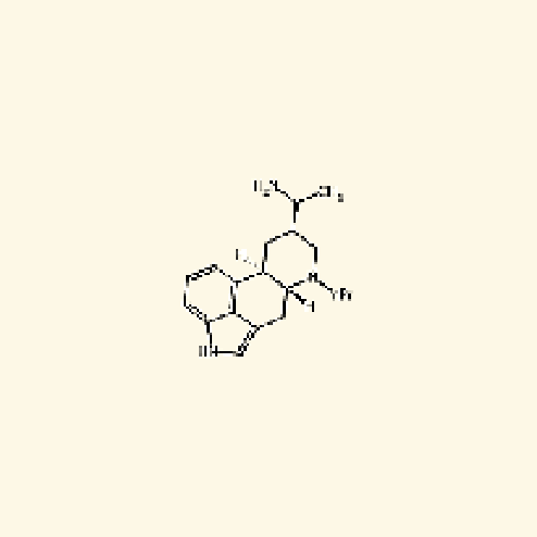 CCCN1C[C@H](C(C)N)C[C@@H]2c3cccc4[nH]cc(c34)C[C@H]21